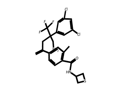 C=C(CC(CN)(c1cc(Cl)cc(Cl)c1)C(F)(F)F)c1ccc(C(=O)NC2CSC2)c(C)c1